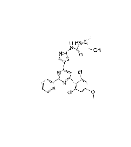 COc1cc(Cl)c(-c2cc(-c3cnc(NC(=O)N[C@H](C)CO)s3)nc(-c3ccccn3)n2)c(Cl)c1